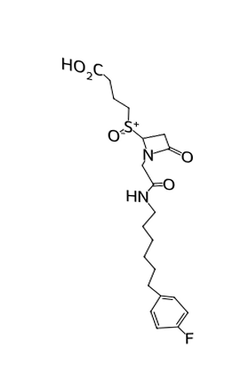 O=C(O)CCC[S+]([O-])C1CC(=O)N1CC(=O)NCCCCCCc1ccc(F)cc1